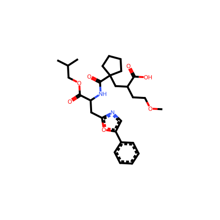 COCCC(CC1(C(=O)NC(Cc2ncc(-c3ccccc3)o2)C(=O)OCC(C)C)CCCC1)C(=O)O